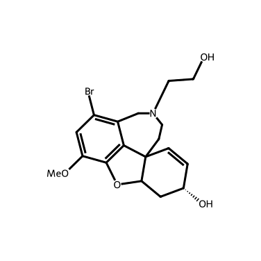 COc1cc(Br)c2c3c1OC1C[C@@H](O)C=CC31CCN(CCO)C2